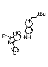 CCn1nc(-c2ccon2)c(CC(=O)Nc2ccc3c(c2)CCN(CCC(C)(C)C)C3)c1Cl